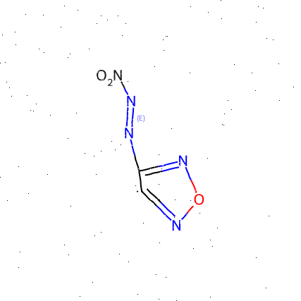 O=[N+]([O-])/N=N/c1[c]non1